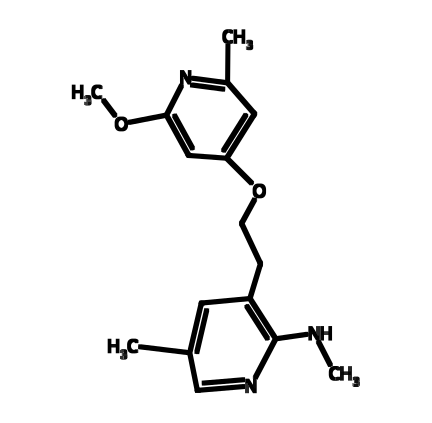 CNc1ncc(C)cc1CCOc1cc(C)nc(OC)c1